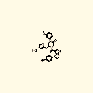 COc1cccc(N2C[C@H](Cc3cccs3)N(C(=O)c3cnc4n3[C@@H](c3ccc(C#N)cc3)CS4)CC2=O)c1.Cl